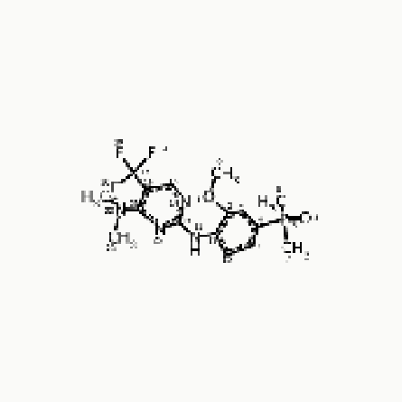 COc1cc(P(C)(C)=O)ccc1Nc1ncc(C(F)(F)F)c(N(C)C)n1